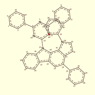 c1ccc(-c2nc(-c3ccccc3)nc(-n3c4ccccc4c4cc(-c5ccccc5)c5ccn(-c6ccccc6)c5c43)n2)cc1